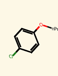 CCCOc1c[c]c(Cl)cc1